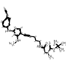 CNc1nc(Nc2ccc(C#N)cc2)ncc1C#CCCCNC(=O)CN(C)C(=O)OC(C)(C)C